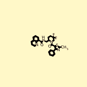 Cc1nc(-c2ccccc2)c(C(=O)N2CC(F)(F)CCC2CNC(=O)c2cccc3cccnc23)s1